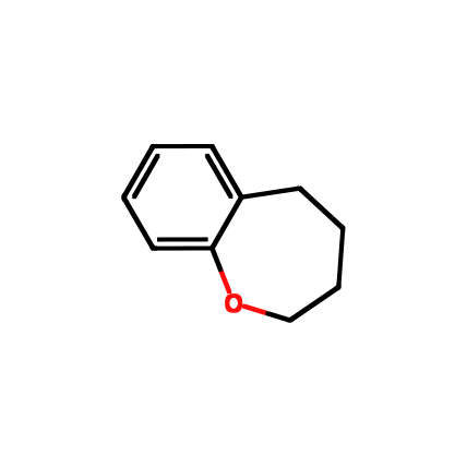 c1ccc2c(c1)CCCCO2